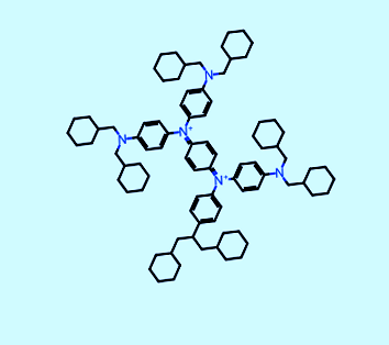 C1=CC(=[N+](c2ccc(N(CC3CCCCC3)CC3CCCCC3)cc2)c2ccc(N(CC3CCCCC3)CC3CCCCC3)cc2)C=CC1=[N+](c1ccc(C(CC2CCCCC2)CC2CCCCC2)cc1)c1ccc(N(CC2CCCCC2)CC2CCCCC2)cc1